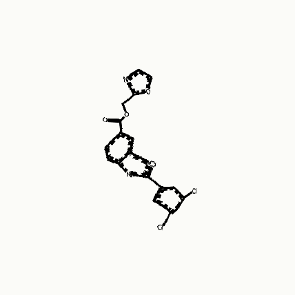 O=C(OCc1ncco1)c1ccc2nc(-c3cc(Cl)cc(Cl)c3)oc2c1